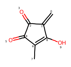 C=C1C(=O)C(=O)C(C)=C1O